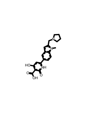 Cn1c(CN2CCCC2)cc2cc(-c3cc(O)c(C(=O)O)c(=O)[nH]3)ccc21